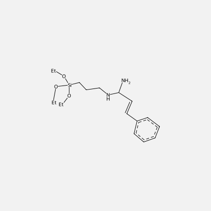 CCO[Si](CCCNC(N)C=Cc1ccccc1)(OCC)OCC